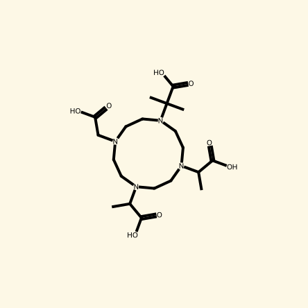 CC(C(=O)O)N1CCN(CC(=O)O)CCN(C(C)(C)C(=O)O)CCN(C(C)C(=O)O)CC1